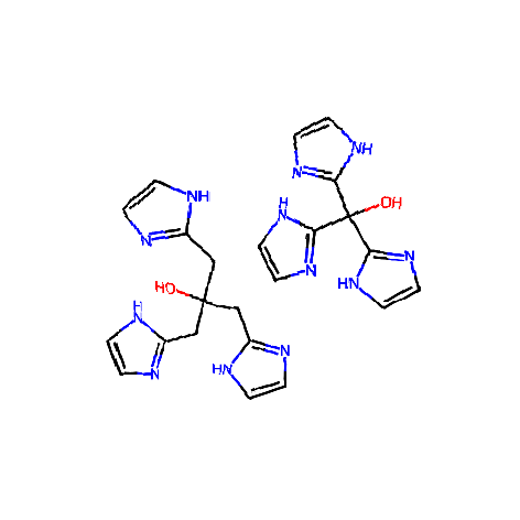 OC(Cc1ncc[nH]1)(Cc1ncc[nH]1)Cc1ncc[nH]1.OC(c1ncc[nH]1)(c1ncc[nH]1)c1ncc[nH]1